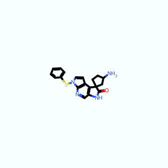 NC1CCC2(C1)C(=O)Nc1cnc3c(ccn3Sc3ccccc3)c12